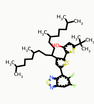 CC(C)CCCC(C)CCC(CCC(C)CCCC(C)C)c1cc(-c2c(F)c(F)cc3nsnc23)sc1-c1sc(C(C)(C)C)cc1O